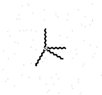 C=CCCCCCCCC[Si](CCCCCCCCCC)(CCCCCCCCCC)CCCCCCCCCC